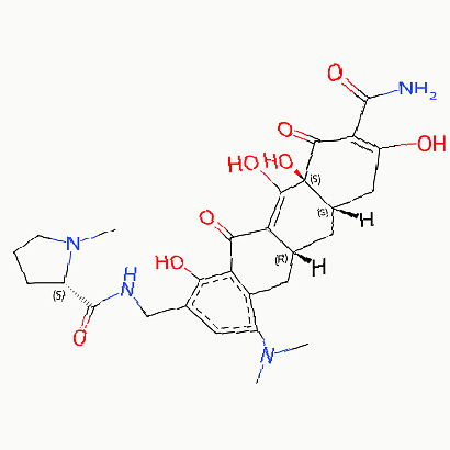 CN(C)c1cc(CNC(=O)[C@@H]2CCCN2C)c(O)c2c1C[C@H]1C[C@H]3CC(O)=C(C(N)=O)C(=O)[C@@]3(O)C(O)=C1C2=O